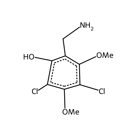 COc1c(Cl)c(O)c(CN)c(OC)c1Cl